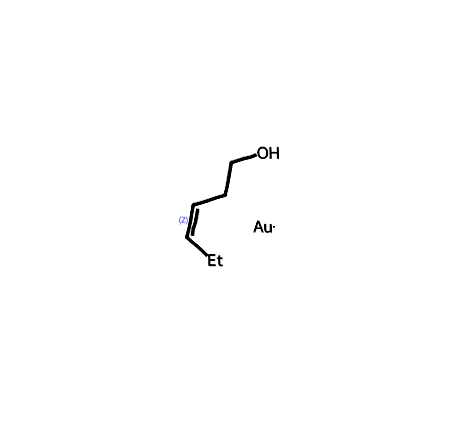 CC/C=C\CCO.[Au]